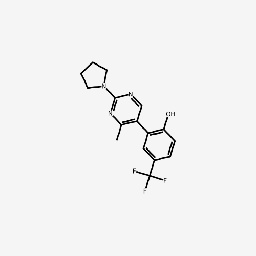 Cc1nc(N2CCCC2)ncc1-c1cc(C(F)(F)F)ccc1O